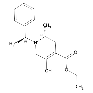 CCOC(=O)C1=C(O)CN([C@@H](C)c2ccccc2)[C@H](C)C1